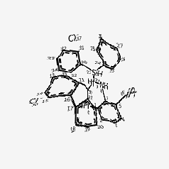 CC(C)c1cccc(C(C)C)c1[NH][Hf+2]([CH]1c2ccccc2-c2ccccc21)[SiH](c1ccccc1)c1ccccc1.[Cl-].[Cl-]